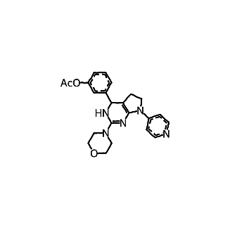 CC(=O)Oc1cccc(C2NC(N3CCOCC3)=NC3=C2CCN3c2ccncc2)c1